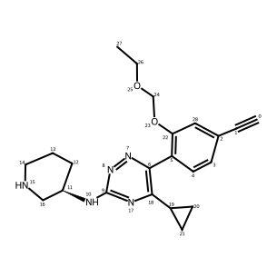 C#Cc1ccc(-c2nnc(N[C@@H]3CCCNC3)nc2C2CC2)c(OCOCC)c1